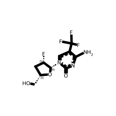 Nc1nc(=O)n([C@@H]2O[C@H](CO)C[C@@H]2F)cc1C(F)(F)F